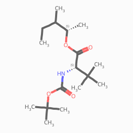 CCC(C)[C@H](C)OC(=O)[C@@H](NC(=O)OC(C)(C)C)C(C)(C)C